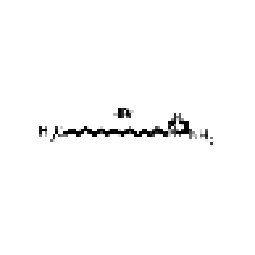 Br.CCCCCCCCCCCCCCCCN1C=NC=C(N)C1